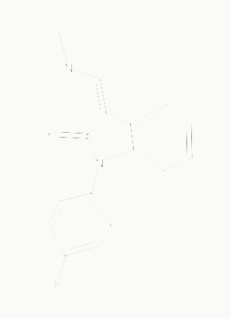 CN(C)C=C1C(=O)N(c2ccc(F)cc2)c2ccccc21